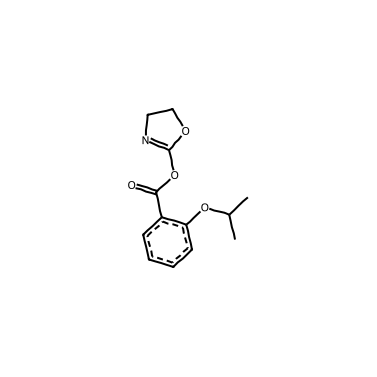 CC(C)Oc1ccccc1C(=O)OC1=NCCO1